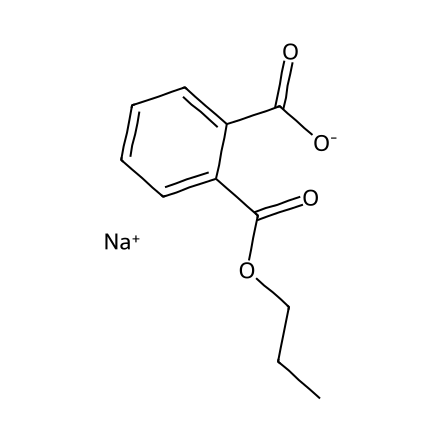 CCCOC(=O)c1ccccc1C(=O)[O-].[Na+]